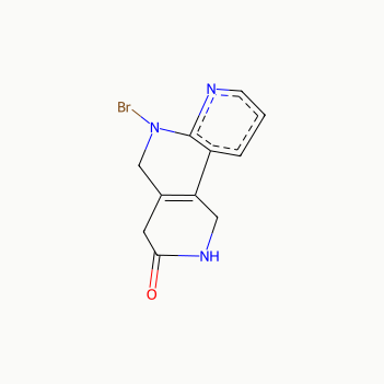 O=C1CC2=C(CN1)c1cccnc1N(Br)C2